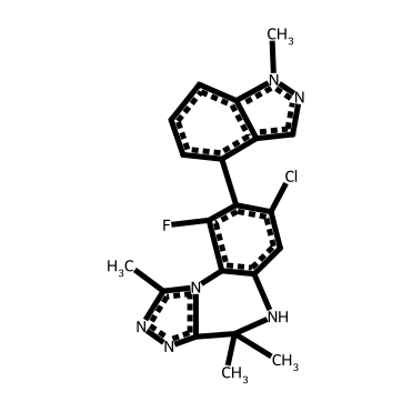 Cc1nnc2n1-c1c(cc(Cl)c(-c3cccc4c3cnn4C)c1F)NC2(C)C